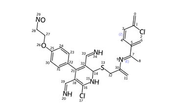 C=C(Cl)/C=C\C(=C)/C(C)=N/C(=C)CSC1NC(Cl)=C(C=N)C(c2ccc(OCCN=O)cc2)=C1C=N